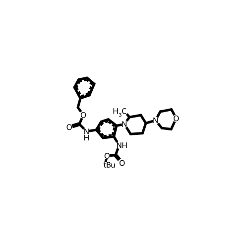 CC1CC(N2CCOCC2)CCN1c1ccc(NC(=O)OCc2ccccc2)cc1NC(=O)OC(C)(C)C